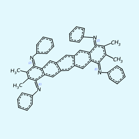 Cc1c(C)/c(=N\c2ccccc2)c2cc3cc4cc5/c(=N/c6ccccc6)c(C)c(C)/c(=N/c6ccccc6)c5cc4cc3cc2/c1=N\c1ccccc1